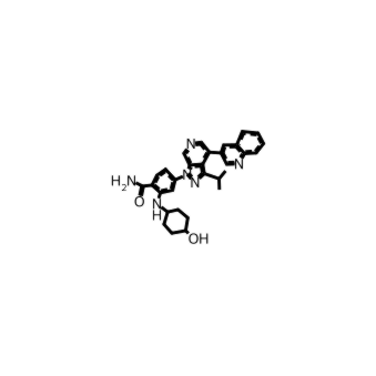 CC(C)c1nn(-c2ccc(C(N)=O)c(NC3CCC(O)CC3)c2)c2cncc(-c3cnc4ccccc4c3)c12